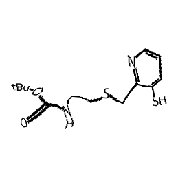 CC(C)(C)OC(=O)NCCSCc1ncccc1S